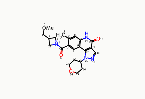 COCC1CN(C(=O)c2cc3c(cc2C)[nH]c(=O)c2cnn(C4CCOCC4)c23)C1